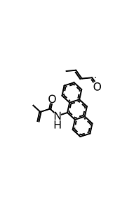 C=C(C)C(=O)Nc1c2ccccc2cc2ccccc12.CC=C[C]=O